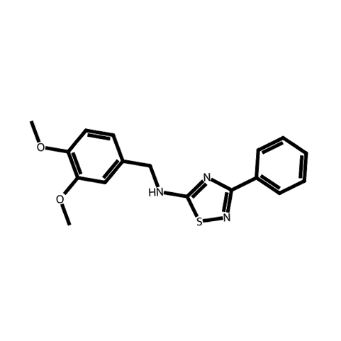 COc1ccc(CNc2nc(-c3ccccc3)ns2)cc1OC